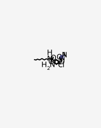 CCCCCCCCNS(=O)(=O)c1cc(S(=O)(=O)/N=C/N(C)C)c(Cl)cc1N